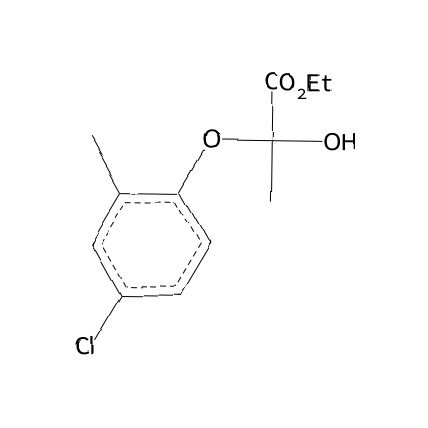 CCOC(=O)C(C)(O)Oc1ccc(Cl)cc1C